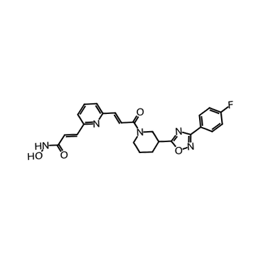 O=C(C=Cc1cccc(C=CC(=O)N2CCCC(c3nc(-c4ccc(F)cc4)no3)C2)n1)NO